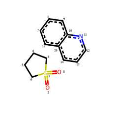 O=S1(=O)CCCC1.c1ccc2ncccc2c1